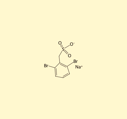 O=S(=O)([O-])Cc1c(Br)cccc1Br.[Na+]